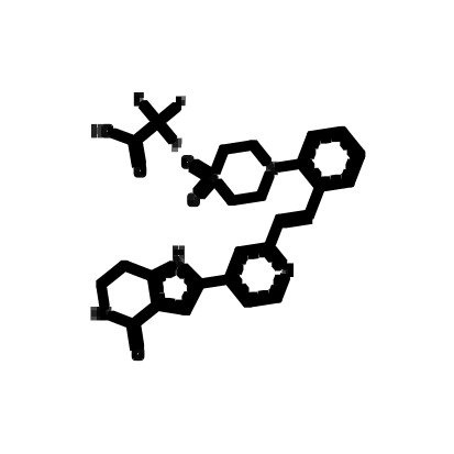 O=C(O)C(F)(F)F.O=C1NCCc2[nH]c(-c3ccnc(C=Cc4ccccc4N4CCS(=O)(=O)CC4)c3)cc21